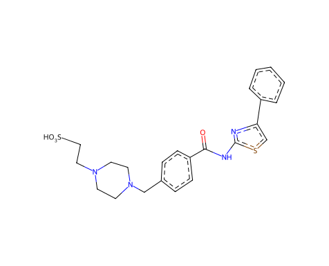 O=C(Nc1nc(-c2ccccc2)cs1)c1ccc(CN2CCN(CCS(=O)(=O)O)CC2)cc1